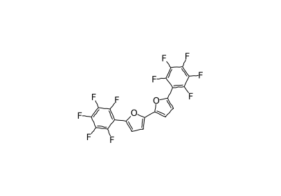 Fc1c(F)c(F)c(-c2ccc(-c3ccc(-c4c(F)c(F)c(F)c(F)c4F)o3)o2)c(F)c1F